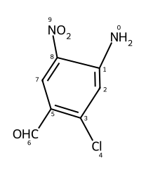 Nc1cc(Cl)c(C=O)cc1[N+](=O)[O-]